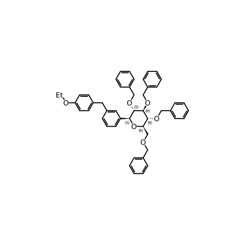 CCOc1ccc(Cc2cccc([C@@H]3O[C@H](COCc4ccccc4)[C@@H](OCc4ccccc4)[C@H](OCc4ccccc4)[C@H]3OCc3ccccc3)c2)cc1